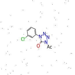 CC(=O)n1nnn(-c2cccc(Cl)c2)c1=O